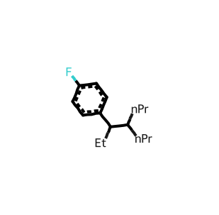 CCCC(CCC)C(CC)c1ccc(F)cc1